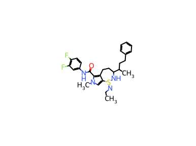 CC/N=S1/NC(C(C)CCc2ccccc2)CCc2c1cn(C)c2C(=O)Nc1ccc(F)c(F)c1